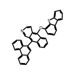 c1ccc2c(c1)cc(-c1c3ccccc3c(Oc3cccc4c3sc3ccccc34)c3ccncc13)c1ccccc12